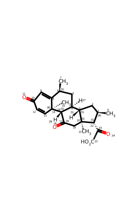 C[C@@H]1C[C@H]2[C@@H]3C[C@H](C)C4=CC(=O)C=C[C@]4(C)[C@H]3C(=O)C[C@]2(C)[C@H]1C(=O)C(=O)O